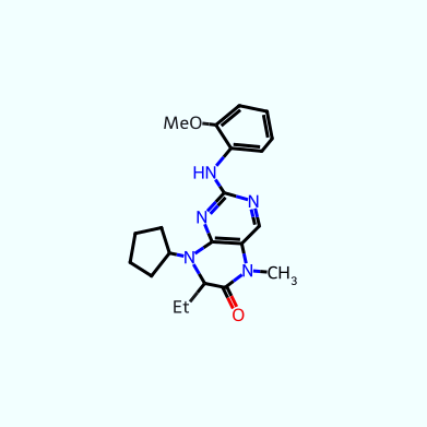 CCC1C(=O)N(C)c2cnc(Nc3ccccc3OC)nc2N1C1CCCC1